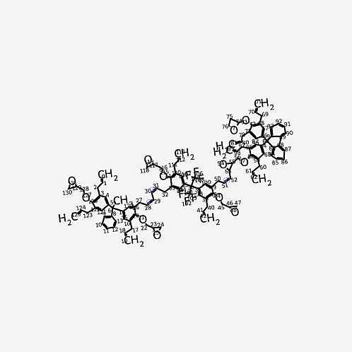 C=CCc1cc(C(C)(c2ccccc2)c2cc(CC=C)c(OCC3CO3)c(C/C=C\C=C/Cc3cc(C(c4cc(CC=C)c(OCC5CO5)c(C/C=C\C5OC5COc5c(CC=C)cc(C6(c7cc(CC=C)c(OC8CCO8)c(CC=C)c7)c7ccccc7-c7ccccc76)cc5CC=C)c4)(C(F)(F)F)C(F)(F)F)cc(CC=C)c3OCC3CO3)c2)cc(CC=C)c1OCC1CO1